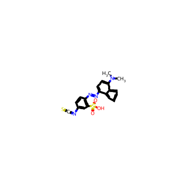 CN(C)c1ccc(N=Nc2ccc(N=C=S)cc2S(=O)(=O)O)c2ccccc12